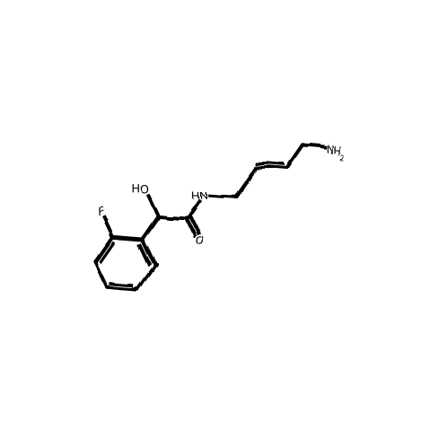 NCC=CCNC(=O)C(O)c1ccccc1F